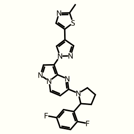 Cc1ncc(-c2cnn(-c3cnn4ccc(N5CCCC5c5cc(F)ccc5F)nc34)c2)s1